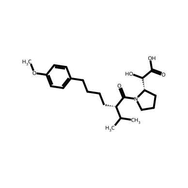 COc1ccc(CCCC[C@H](C(=O)N2CCC[C@H]2C(O)C(=O)O)C(C)C)cc1